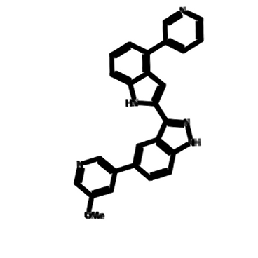 COc1cncc(-c2ccc3[nH]nc(-c4cc5c(-c6cccnc6)cccc5[nH]4)c3c2)c1